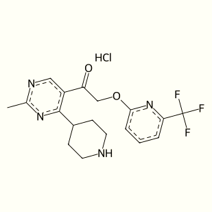 Cc1ncc(C(=O)COc2cccc(C(F)(F)F)n2)c(C2CCNCC2)n1.Cl